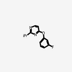 CC(C)c1nccc(Oc2cccc(F)c2)n1